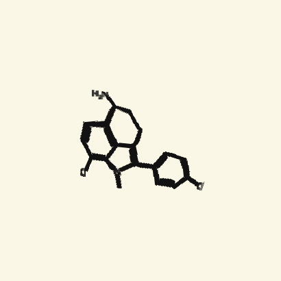 Cn1c(-c2ccc(Cl)cc2)c2c3c(ccc(Cl)c31)C(N)CC2